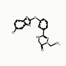 O=C1CNC(c2cccc(Oc3nc4ccc(Cl)cc4s3)c2)=NN1CC(F)(F)F